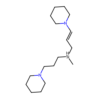 C[SiH](CC=CN1CCCCC1)CCCN1CCCCC1